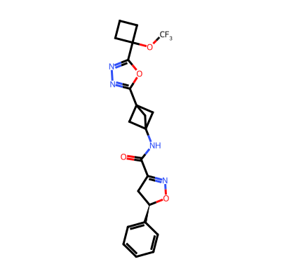 O=C(NC12CC(c3nnc(C4(OC(F)(F)F)CCC4)o3)(C1)C2)C1=NO[C@@H](c2ccccc2)C1